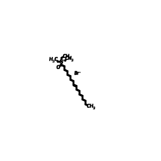 CCCCCCCCC=CCCCCCCCC(=O)[N+](CC)(CC)CC.[Br-]